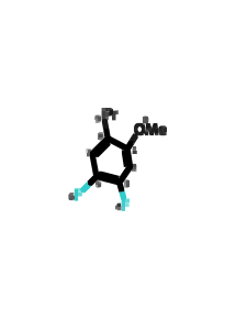 COc1cc(F)c(F)cc1C(C)C